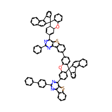 C1=CC2C(C=C1c1nc(-c3ccccc3)nc3c1sc1ccc(-c4ccc5c(c4)Oc4cc(-c6nc(-c7ccc(-c8ccccc8)cc7)nc7c6sc6ccccc67)ccc4C54c5ccccc5-c5c4ccc4ccccc54)cc13)Oc1ccccc1C21c2ccccc2-c2c1ccc1ccccc21